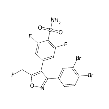 NS(=O)(=O)c1c(F)cc(-c2c(-c3ccc(Br)c(Br)c3)noc2CF)cc1F